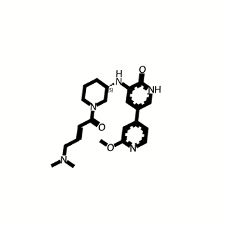 COc1cc(-c2c[nH]c(=O)c(N[C@H]3CCCN(C(=O)C=CCN(C)C)C3)c2)ccn1